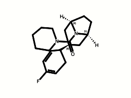 O=C(N1CCCCC1)N1[C@@H]2CC[C@H]1C[C@@H](C1C=CC(F)=CC1)C2